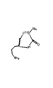 CC(C)CC(CC(=O)O)NC(=O)OC(C)(C)C